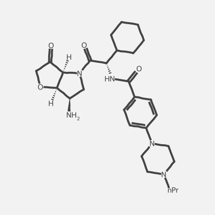 CCCN1CCN(c2ccc(C(=O)N[C@H](C(=O)N3C[C@@H](N)[C@H]4OCC(=O)[C@H]43)C3CCCCC3)cc2)CC1